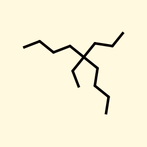 CCCCC(CC)(CCC)CCCC